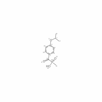 CC(C)Oc1ccc(C(=O)P(C)(=O)O)cc1